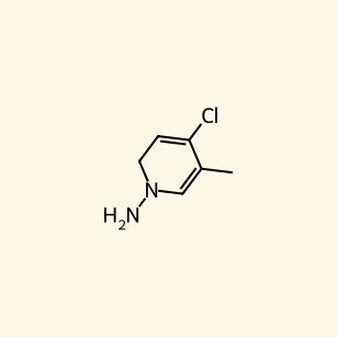 CC1=CN(N)CC=C1Cl